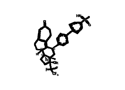 C[C@]12C[C@H](c3ccc(-c4ccc(S(C)(=N)=O)cc4)cc3)C3=C4CCC(=O)C=C4CC[C@H]3[C@@H]1CC[C@@]2(O)C(F)(F)C(F)(F)F